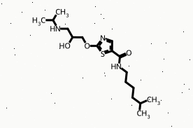 CC(C)CCCCNC(=O)c1cnc(OCC(O)CNC(C)C)s1